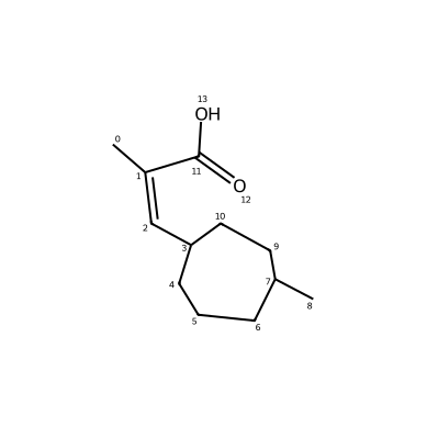 CC(=CC1CCCC(C)CC1)C(=O)O